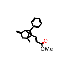 C=C1CC2(C)CC1C(c1ccccc1)=C2C=CC(=O)OC